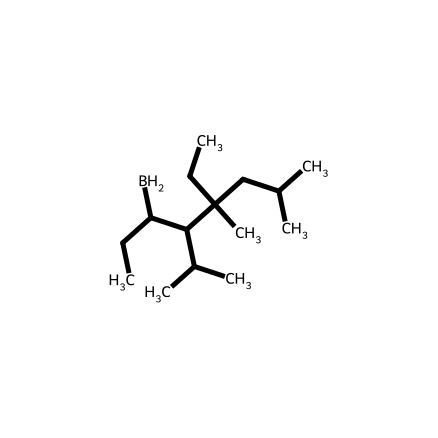 BC(CC)C(C(C)C)C(C)(CC)CC(C)C